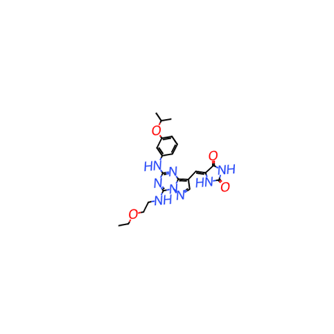 CCOCCNc1nc(Nc2cccc(OC(C)C)c2)nc2c(/C=C3\NC(=O)NC3=O)cnn12